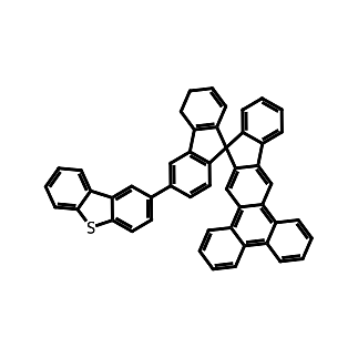 C1=CC2=C(CC1)c1cc(-c3ccc4sc5ccccc5c4c3)ccc1C21c2ccccc2-c2cc3c4ccccc4c4ccccc4c3cc21